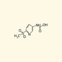 CS(=O)(=O)c1ccc(NC(=O)O)cn1